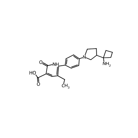 CCc1cc(C(=O)O)c(=O)[nH]c1-c1ccc(N2CCC(C3(N)CCC3)C2)cc1